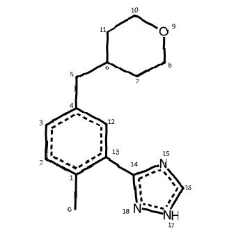 Cc1ccc(CC2CCOCC2)cc1-c1nc[nH]n1